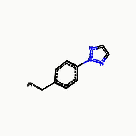 CC(C)Cc1ccc(-n2nccn2)cc1